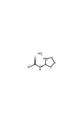 CCC(=O)N[C@@H]1CCCN1.Cl